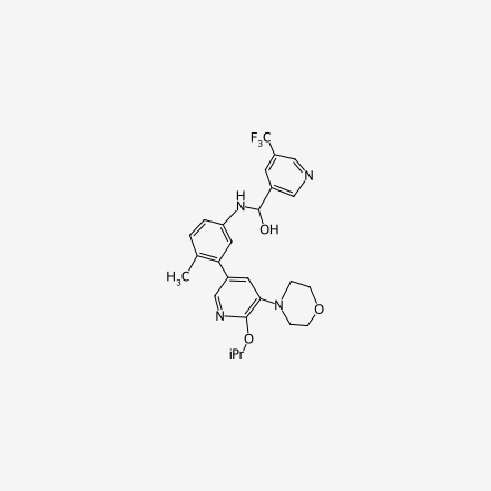 Cc1ccc(NC(O)c2cncc(C(F)(F)F)c2)cc1-c1cnc(OC(C)C)c(N2CCOCC2)c1